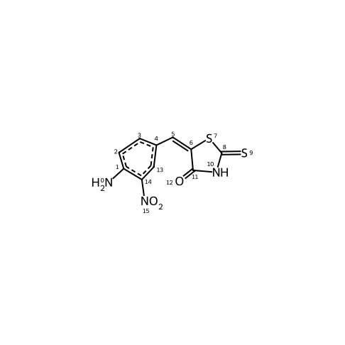 Nc1ccc(C=C2SC(=S)NC2=O)cc1[N+](=O)[O-]